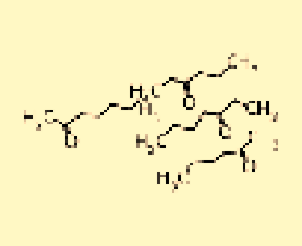 CCCC(=O)CC.CCCCC(=O)CC.CCCCC(C)=O.CCCCCC(C)=O